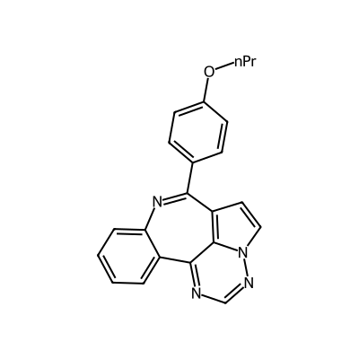 CCCOc1ccc(C2=Nc3ccccc3-c3ncnn4ccc2c34)cc1